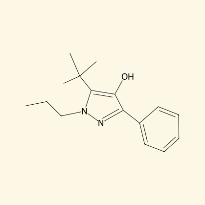 CCCn1nc(-c2ccccc2)c(O)c1C(C)(C)C